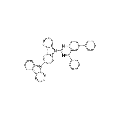 c1ccc(-c2ccc3nc(-n4c5ccccc5c5cc(-n6c7ccccc7c7ccccc76)ccc54)nc(-c4ccccc4)c3c2)cc1